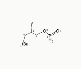 CC(CO[PH2]=O)CC(C)(C)C